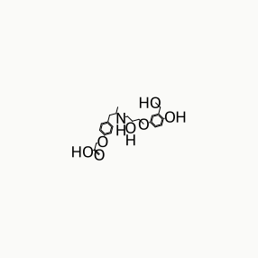 CC(Cc1ccc(OCC(=O)O)cc1)NCC(O)COc1ccc(O)c(CO)c1